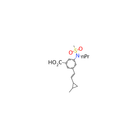 CCCN(c1cc(C=CC2CC2C)cc(C(=O)O)c1)S(C)(=O)=O